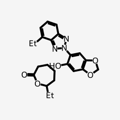 CCC1CCCCC(=O)O1.CCc1cccc2nn(-c3cc4c(cc3O)OCO4)nc12